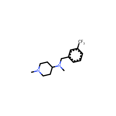 CN1CCC(N(C)Cc2cccc(C(F)(F)F)c2)CC1